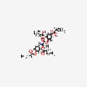 C=CC(=O)Oc1ccc(/C=C(\C)C(=O)Oc2ccc(OC(=O)C=C)cc2OC(=O)C=C)c(OC(=O)C=C)c1